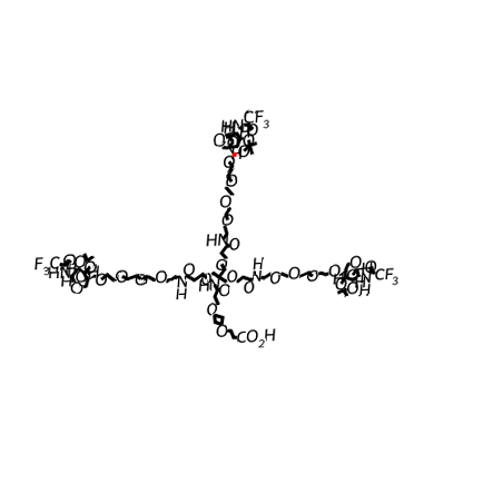 CC1(C)O[C@@H]2[C@@H](NC(=O)C(F)(F)F)[C@H]3OC[C@](COCCOCCOCCOCCNC(=O)CCOCC(COCCC(=O)NCCOCCOCCOCCOC[C@@]45CO[C@@H](O4)[C@H](NC(=O)C(F)(F)F)[C@H]4OC(C)(C)O[C@H]45)(COCCC(=O)NCCOCCOCCOCCOC[C@@]45CO[C@@H](O4)[C@H](NC(=O)C(F)(F)F)[C@H]4OC(C)(C)O[C@H]45)NC(=O)CCOC4CC(OCCC(=O)O)C4)(O3)[C@@H]2O1